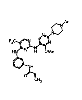 C=CC(=O)Nc1cccc(Nc2nc(Nc3cnc(N4CCN(C(C)=O)CC4)nc3OC)ncc2C(F)(F)F)c1